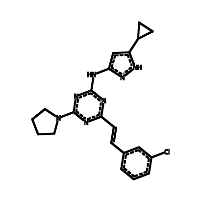 Clc1cccc(/C=C/c2nc(Nc3cc(C4CC4)[nH]n3)nc(N3CCCC3)n2)c1